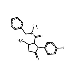 CC1CC(=O)N(c2ccc(F)cc2)C1C(=O)N(C)Cc1ccccc1